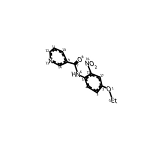 CCOc1ccc(NC(=O)c2cccnc2)c([N+](=O)[O-])c1